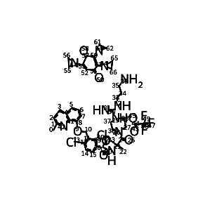 Cc1ccc2cccc(OCc3c(Cl)ccc(S(=O)(=O)NC(C)(C)C(=O)N4CCN(C(=N)NCCCN)CC4)c3Cl)c2n1.O=C(O)C(F)(F)F.O=C1C=C(N2CC2)C(=O)C(N2CC2)=C1N1CC1